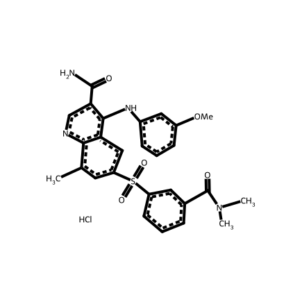 COc1cccc(Nc2c(C(N)=O)cnc3c(C)cc(S(=O)(=O)c4cccc(C(=O)N(C)C)c4)cc23)c1.Cl